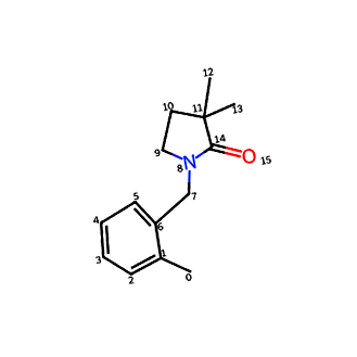 Cc1ccccc1CN1CCC(C)(C)C1=O